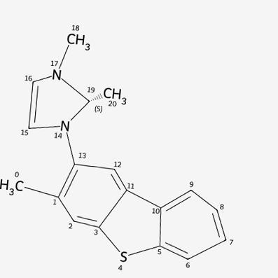 Cc1cc2sc3ccccc3c2cc1N1C=CN(C)[C@@H]1C